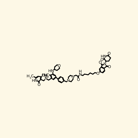 Cc1cc(C)c(CNCc2cc(-c3ccc(CN4CCN(CC(=O)NCCCCCCOc5ccc6c(c5)C(=O)N(C5CCC(=O)NC5=O)C6=O)CC4)cc3)cc(NC3CCOCC3)c2C)c(=O)[nH]1